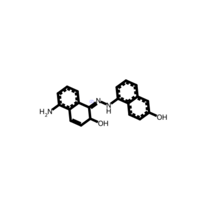 Nc1cccc2c1C=CC(O)/C2=N\Nc1cccc2cc(O)ccc12